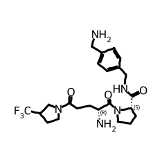 NCc1ccc(CNC(=O)[C@@H]2CCCN2C(=O)[C@H](N)CCC(=O)N2CCC(C(F)(F)F)C2)cc1